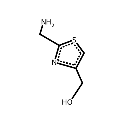 NCc1nc(CO)cs1